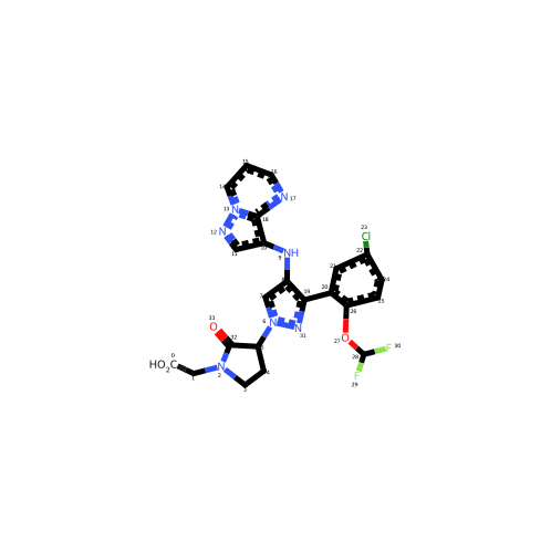 O=C(O)CN1CCC(n2cc(Nc3cnn4cccnc34)c(-c3cc(Cl)ccc3OC(F)F)n2)C1=O